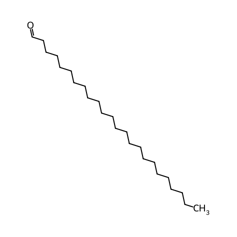 CCCCCCCCCCCCCCCCCCCCCCCC=O